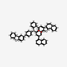 c1cc(-c2cccc3ccccc23)cc(N(c2ccc(-c3ccc4oc5ccccc5c4c3)cc2)c2ccccc2-c2ccc3oc4c5ccccc5ccc4c3c2)c1